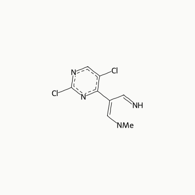 CN/C=C(\C=N)c1nc(Cl)ncc1Cl